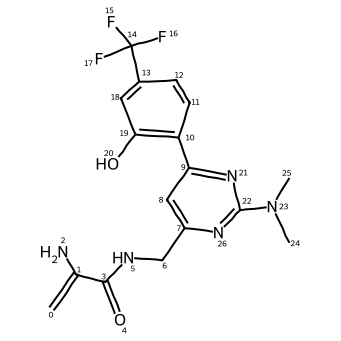 C=C(N)C(=O)NCc1cc(-c2ccc(C(F)(F)F)cc2O)nc(N(C)C)n1